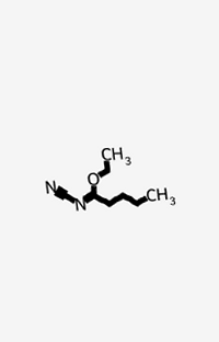 CCCC/C(=N/C#N)OCC